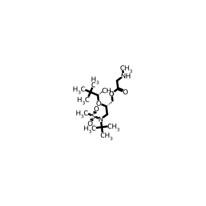 CNCC(=O)OC[C@H](CN(C(C)(C)C)S(C)(=O)=O)O[C@@H](C)C(C)(C)C